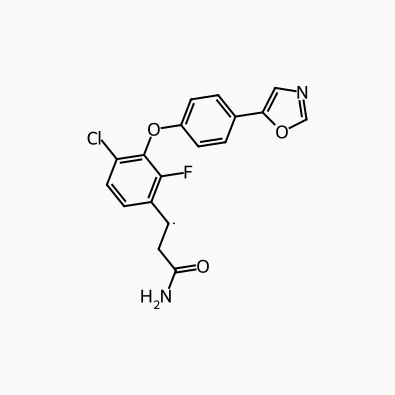 NC(=O)C[CH]c1ccc(Cl)c(Oc2ccc(-c3cnco3)cc2)c1F